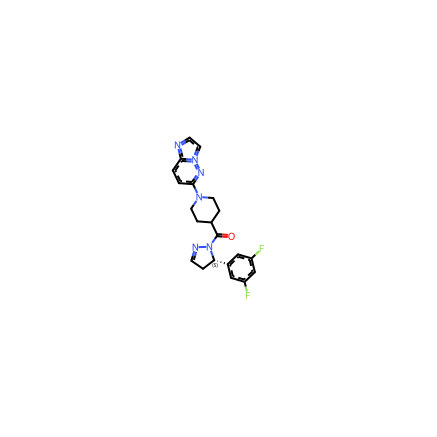 O=C(C1CCN(c2ccc3nccn3n2)CC1)N1N=CC[C@H]1c1cc(F)cc(F)c1